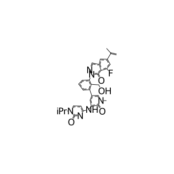 C=C(C)c1cc(F)c2c(=O)n(-c3cccc(-c4cc(Nc5ccn(C(C)C)c(=O)n5)c(=O)n(C)c4)c3CO)ncc2c1